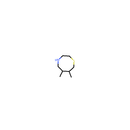 CC1CNCCSCC1C